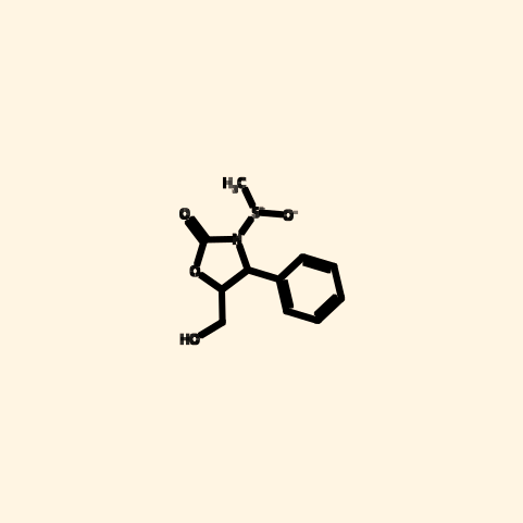 C[S+]([O-])N1C(=O)OC(CO)C1c1ccccc1